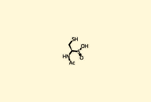 CC(=O)N[C@@H](CS)S(=O)O